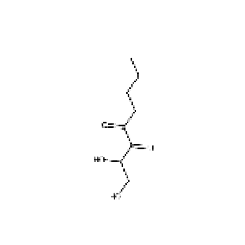 CCCCC(=O)C(=O)C(O)CO